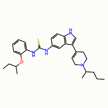 CCCC(C)N1CC=C(c2c[nH]c3ccc(NC(=S)Nc4ccccc4OC(C)CC)cc23)CC1